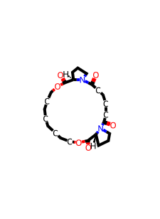 O=C1OCCCCCCCCOC(=O)[C@H]2CCCN2C(=O)CCCCC(=O)N2CCC[C@H]12